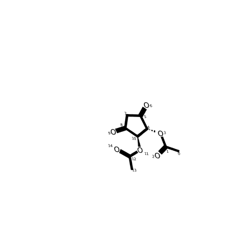 CC(=O)O[C@H]1C(=O)CC(=O)[C@@H]1OC(C)=O